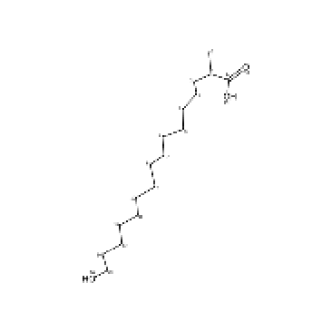 CC(CCCCCCCCCCCCCCO)C(=O)O